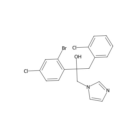 OC(Cc1ccccc1Cl)(Cn1ccnc1)c1ccc(Cl)cc1Br